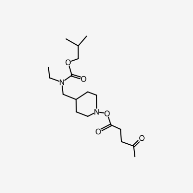 CCN(CC1CCN(OC(=O)CCC(C)=O)CC1)C(=O)OCC(C)C